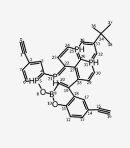 C#CC1=CC2=[PH](C=C1)OB1Oc3ccc(C#C)cc3C3=C1[PH]2=C1C=C[PH]2=C4C1=C3C=C[PH]4=CC(C(C)(C)C)=C2